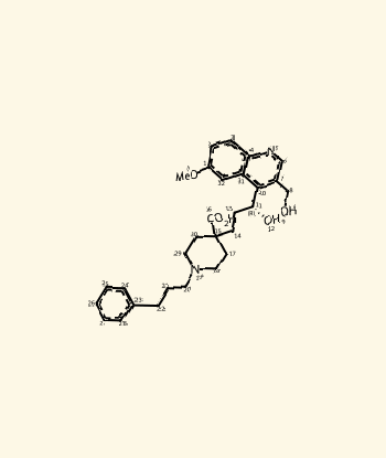 COc1ccc2ncc(CO)c([C@H](O)CCC3(C(=O)O)CCN(CCCc4ccccc4)CC3)c2c1